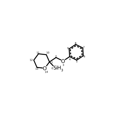 [SiH3]C1(COc2ccccc2)CCCCO1